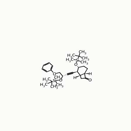 CC(C)(C)[Si](C)(C)O[C@@H](C#C[C@@H]1[C@H]2CC(=O)[C@H]2CC[C@H]1O[Si](C)(C)C(C)(C)C)COc1ccccc1